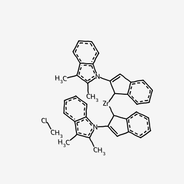 CCl.Cc1c(C)n(C2=Cc3ccccc3[CH]2[Zr][CH]2C(n3c(C)c(C)c4ccccc43)=Cc3ccccc32)c2ccccc12